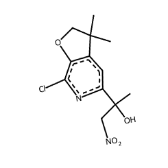 CC1(C)COc2c1cc(C(C)(O)C[N+](=O)[O-])nc2Cl